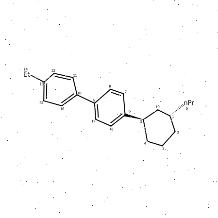 CCC[C@@H]1CCC[C@@H](c2ccc(-c3ccc(CC)cc3)cc2)C1